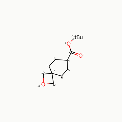 CC(C)(C)OC(=O)C1CCC2(CC1)COC2